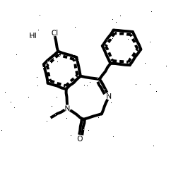 CN1C(=O)CN=C(c2ccccc2)c2cc(Cl)ccc21.I